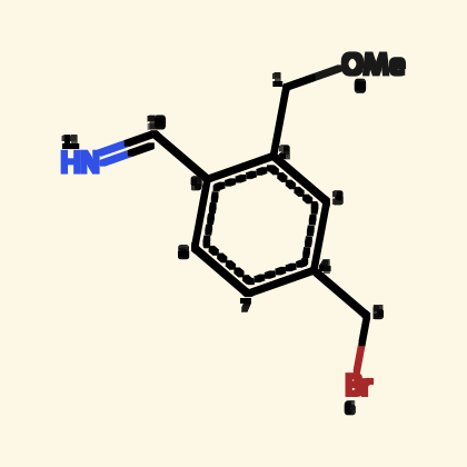 COCc1cc(CBr)ccc1C=N